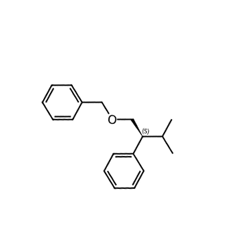 CC(C)[C@H](COCc1ccccc1)c1ccccc1